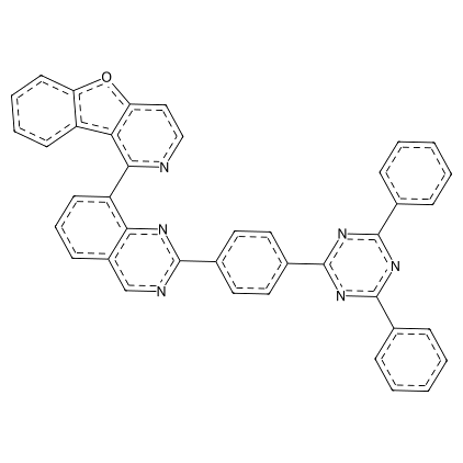 c1ccc(-c2nc(-c3ccccc3)nc(-c3ccc(-c4ncc5cccc(-c6nccc7oc8ccccc8c67)c5n4)cc3)n2)cc1